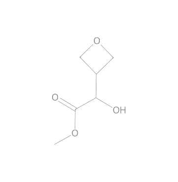 COC(=O)C(O)C1COC1